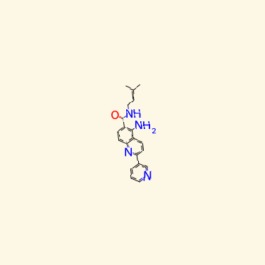 CC(C)=CCNC(=O)c1ccc2nc(-c3cccnc3)ccc2c1N